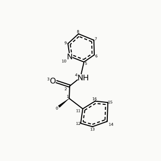 C[C@@H](C(=O)Nc1ccccn1)c1ccccc1